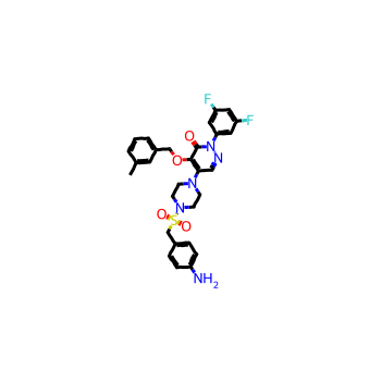 Cc1cccc(COc2c(N3CCN(S(=O)(=O)Cc4ccc(N)cc4)CC3)cnn(-c3cc(F)cc(F)c3)c2=O)c1